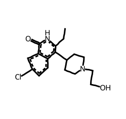 CCc1[nH]c(=O)c2cc(Cl)ccc2c1C1CCN(CCO)CC1